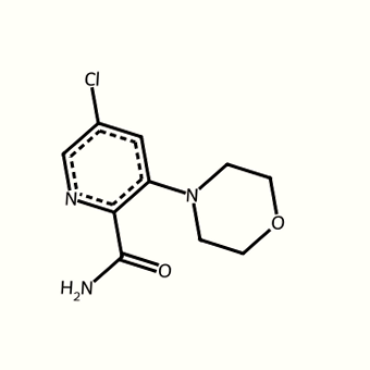 NC(=O)c1ncc(Cl)cc1N1CCOCC1